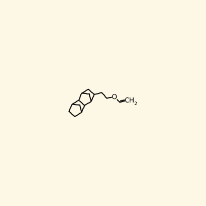 C=COCCC1CC2CC1C1C3CCC(C3)C21